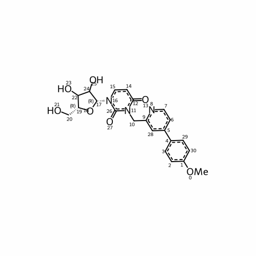 COc1ccc(-c2ccnc(Cn3c(=O)ccn([C@@H]4O[C@H](CO)C(O)C4O)c3=O)c2)cc1